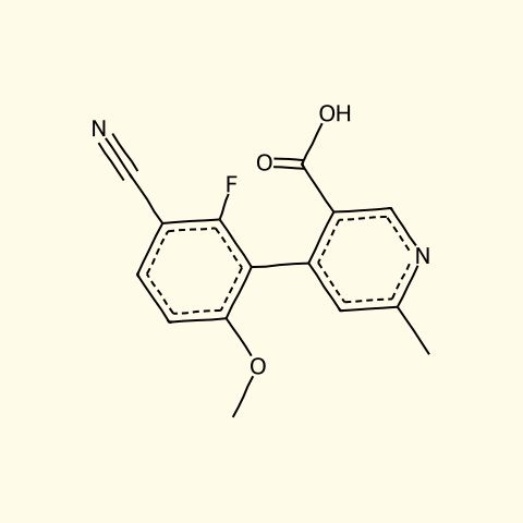 COc1ccc(C#N)c(F)c1-c1cc(C)ncc1C(=O)O